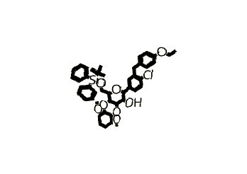 CCOc1ccc(Cc2cc(C3OC(CO[Si](c4ccccc4)(c4ccccc4)C(C)(C)C)C4OC5(OC)CCCCC5(OC)OC4C3O)ccc2Cl)cc1